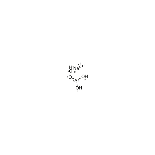 [Na+].[Na+].[O-][As](O)O.[OH-]